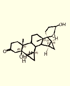 C[C@]12CCC3C(C1[C@@H]1C[C@@H]1[C@@]21CCC(O)O1)[C@H]1C[C@H]1[C@]1(O)CC(=O)CC[C@]31C